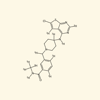 [2H]c1nc(N([2H])C2([2H])CCN(C([2H])c3cc(C(=O)N([2H])C([2H])([2H])[2H])c([2H])cc3[2H])CC2)c2c([2H])c(Cl)sc2n1